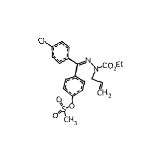 C=CCN(N=C(c1ccc(Cl)cc1)c1ccc(OS(C)(=O)=O)cc1)C(=O)OCC